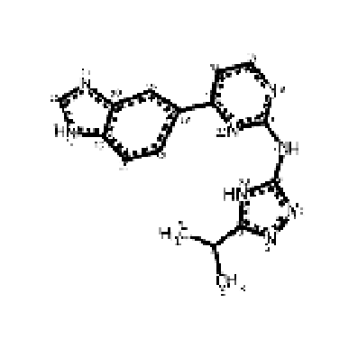 CC(C)c1nnc(Nc2nccc(-c3ccc4[nH]cnc4c3)n2)[nH]1